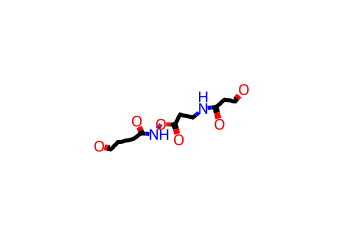 O=CCCC(=O)NOC(=O)CCNC(=O)CC=O